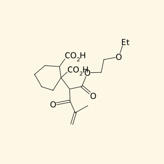 C=C(C)C(=O)C(C(=O)OCCOCC)C1(C(=O)O)CCCCC1C(=O)O